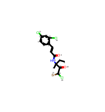 CCC(C)(NC(=O)C=Cc1ccc(Cl)cc1Cl)C(=O)C(Cl)Br